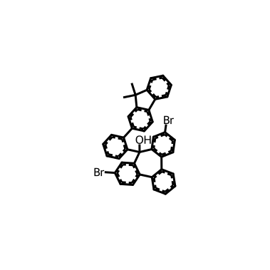 CC1(C)c2ccccc2-c2ccc(-c3ccccc3C3(O)c4cc(Br)ccc4-c4ccccc4-c4ccc(Br)cc43)cc21